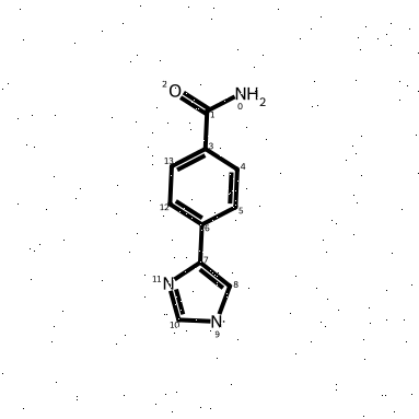 NC(=O)c1ccc(C2=C[N]C=N2)cc1